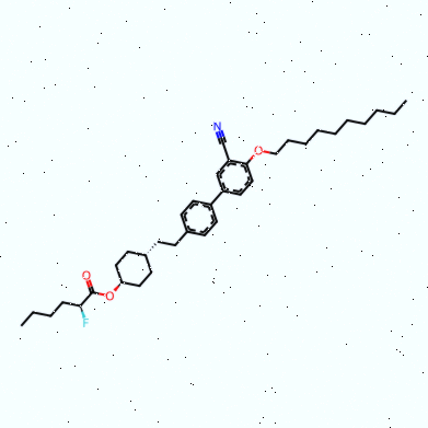 CCCCCCCCCCOc1ccc(-c2ccc(CC[C@H]3CC[C@H](OC(=O)[C@@H](F)CCCC)CC3)cc2)cc1C#N